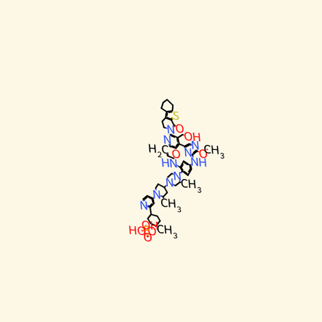 C=CC(=O)Nc1cc(Nc2nc(-c3ccnc(N4CCc5c(sc6c5CCCC6)C4=O)c3CO)cnc2OC)ccc1N1CCN(C2CCN(c3ccnc(C4CCC(C)(OP(=O)(O)O)CC4)c3)[C@H](C)C2)C[C@@H]1C